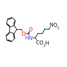 O=C(N[C@@H](CCCC[N+](=O)[O-])C(=O)O)OCC1c2ccccc2-c2ccccc21